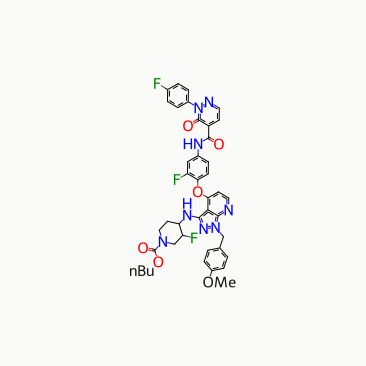 CCCCOC(=O)N1CCC(Nc2nn(Cc3ccc(OC)cc3)c3nccc(Oc4ccc(NC(=O)c5ccnn(-c6ccc(F)cc6)c5=O)cc4F)c23)C(F)C1